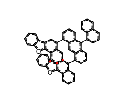 c1ccc2c(-c3c4cccc(-c5cc6c7ccccc7oc6c6ccccc56)c4cc4c(-c5cc6c7ccccc7oc6c6ccccc56)cccc34)cccc2c1